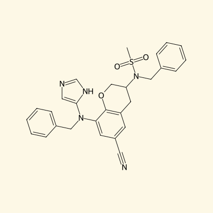 CS(=O)(=O)N(Cc1ccccc1)C1COc2c(cc(C#N)cc2N(Cc2ccccc2)c2cnc[nH]2)C1